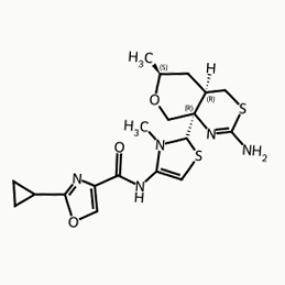 C[C@H]1C[C@H]2CSC(N)=N[C@@]2(C2SC=C(NC(=O)c3coc(C4CC4)n3)N2C)CO1